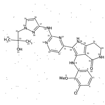 COc1c(Cl)cccc1Nc1c(-c2ccnc(Nc3ccn(CC(C)(C)O)n3)n2)[nH]c2c1C(=O)NCC2